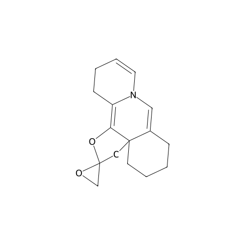 C1=CN2C=C3CCCCC34CC3(CO3)OC4=C2CC1